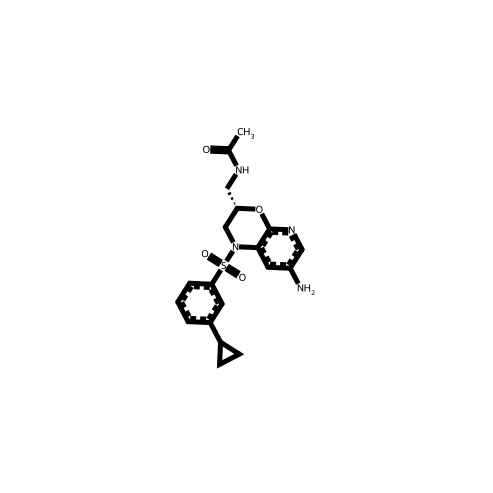 CC(=O)NC[C@H]1CN(S(=O)(=O)c2cccc(C3CC3)c2)c2cc(N)cnc2O1